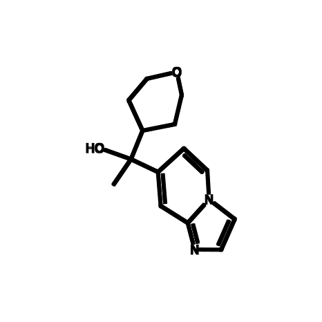 CC(O)(c1ccn2ccnc2c1)C1CCOCC1